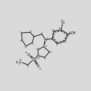 N#Cc1ccc(N(CC2CCCCC2)[C@H]2CCN(S(=O)(=O)CC(F)(F)F)C2)cc1Cl